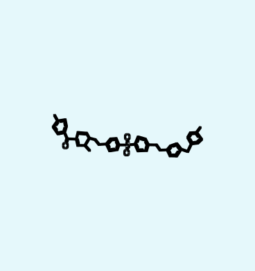 Cc1ccc(Cc2ccc(CCc3ccc(S(=O)(=O)c4ccc(CCC5C=CC(C(=O)c6ccc(C)cc6)=CC5C)cc4)cc3)cc2)cc1